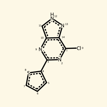 Clc1nc(-c2cccs2)nc2c[nH]nc12